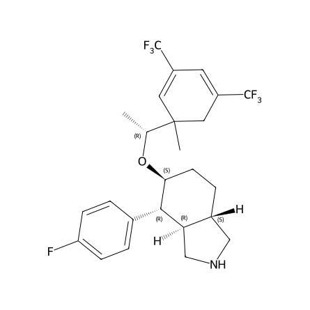 C[C@@H](O[C@H]1CC[C@@H]2CNC[C@H]2[C@@H]1c1ccc(F)cc1)C1(C)C=C(C(F)(F)F)C=C(C(F)(F)F)C1